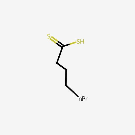 CCCCCCC(=S)S